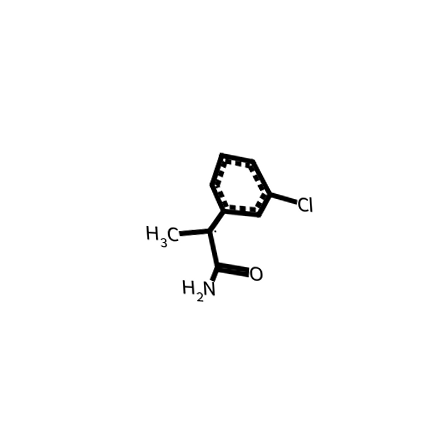 C[C](C(N)=O)c1cccc(Cl)c1